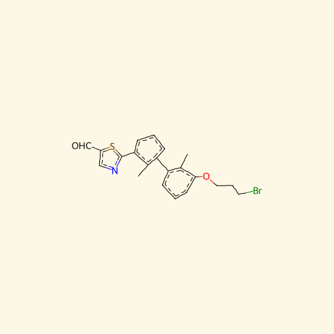 Cc1c(OCCCBr)cccc1-c1cccc(-c2ncc(C=O)s2)c1C